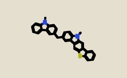 Cn1c2ccccc2c2cc(Cc3ccc4c(c3)c3cc5sc6ccccc6c5cc3n4C)ccc21